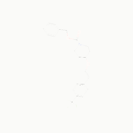 O=C(OCc1ccccc1)N1CCC(O/C=C/c2ccc(C(F)(F)F)cc2)CC1